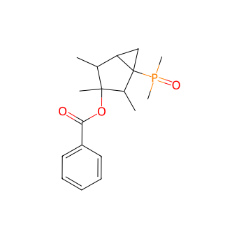 CC1C2CC2(P(C)(C)=O)C(C)C1(C)OC(=O)c1ccccc1